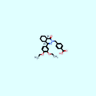 CCOc1ccc(C2=NN(Cc3ccc(C(=O)O)cc3)C(=O)[C@@H]3CCCC[C@H]23)cc1OCC